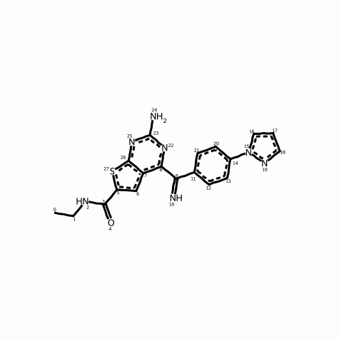 CCNC(=O)c1cc2c(C(=N)c3ccc(-n4cccn4)cc3)nc(N)nc2s1